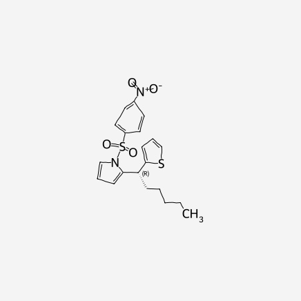 CCCCC[C@@H](c1cccs1)c1cccn1S(=O)(=O)c1ccc([N+](=O)[O-])cc1